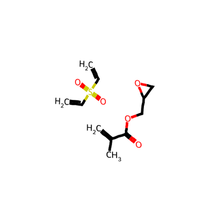 C=C(C)C(=O)OCC1CO1.C=CS(=O)(=O)C=C